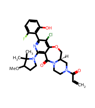 C=CC(=O)N1CCN2C(=O)c3c(N4CCC(OC)C4(C)C)nc(-c4c(O)cccc4F)c(Cl)c3OC[C@H]2C1